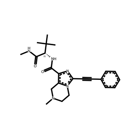 CNC(=O)[C@@H](NC(=O)c1nc(C#Cc2ccccc2)n2c1CN(C)CC2)C(C)(C)C